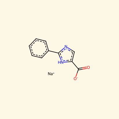 O=C([O-])c1cnc(-c2ccccc2)[nH]1.[Na+]